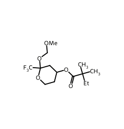 CCC(C)(C)C(=O)OC1CCOC(OCOC)(C(F)(F)F)C1